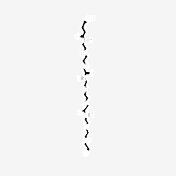 C#CCCC(=O)NCCOCCOCC(=O)NCCOCCOCC(=O)NCCOCCOCC=O